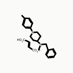 Cc1ccc(N2CCC(N(C)Cc3ccccc3)CC2)cc1.O=C(O)/C=C/C(=O)O